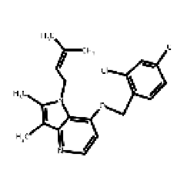 CC(C)=CCn1c(C)c(C)c2nccc(OCc3ccc(Cl)cc3Cl)c21